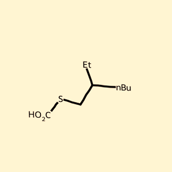 CCCCC(CC)CSC(=O)O